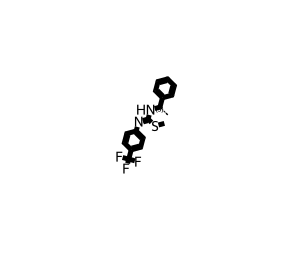 CSC(=Nc1ccc(C(F)(F)F)cc1)N[C@@H](C)c1ccccc1